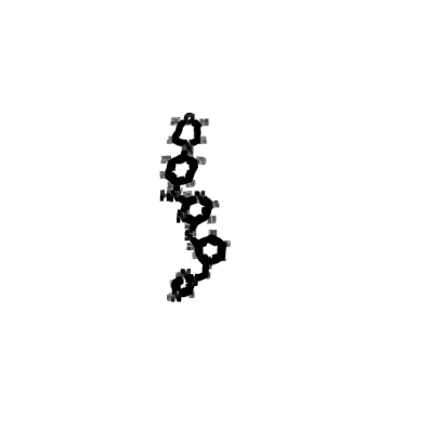 c1cc(Cn2cncn2)cc(Sc2ccnc(Nc3ccc(N4CCOCC4)cc3)n2)c1